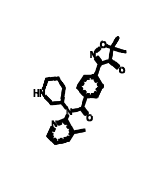 Cc1cccnc1N(C(=O)c1ccc(C2=NOC(C)(C)C2=O)cc1)C1CCCNC1